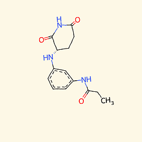 CCC(=O)Nc1cccc(N[C@H]2CCC(=O)NC2=O)c1